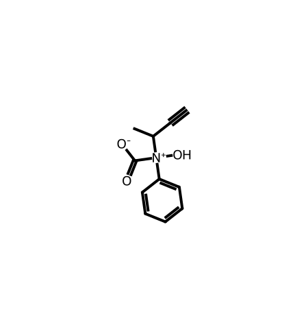 C#CC(C)[N+](O)(C(=O)[O-])c1ccccc1